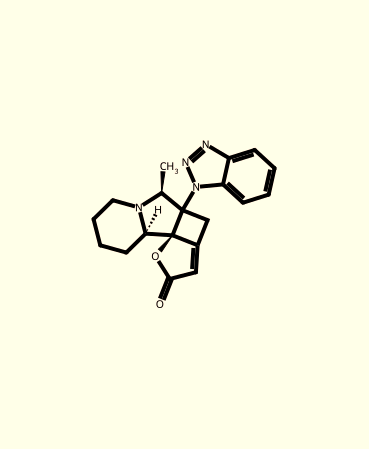 C[C@@H]1N2CCCC[C@@H]2[C@@]23OC(=O)C=C2CC13n1nnc2ccccc21